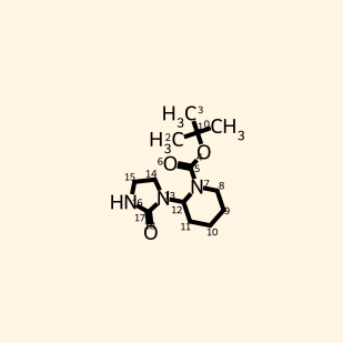 CC(C)(C)OC(=O)N1CCCCC1N1CCNC1=O